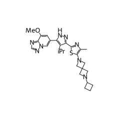 COc1cc(-c2[nH]nc(-c3nc(C)c(N4CC5(C4)CN(C4CCC4)C5)s3)c2C(C)C)cn2ncnc12